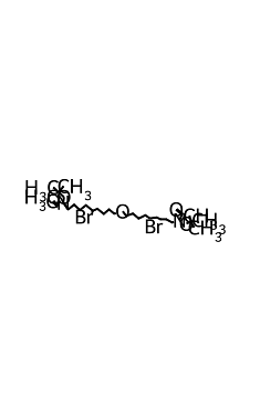 CC(C)(C)ON(C=O)CCCCC(Br)CCCCOCCCCC(Br)CCCCN(C=O)OC(C)(C)C